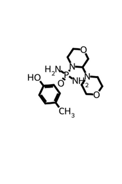 Cc1ccc(O)cc1.NP(N)(=O)N1CCOCC1N1CCOCC1